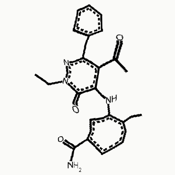 CCn1nc(-c2ccccc2)c(C(C)=O)c(Nc2cc(C(N)=O)ccc2C)c1=O